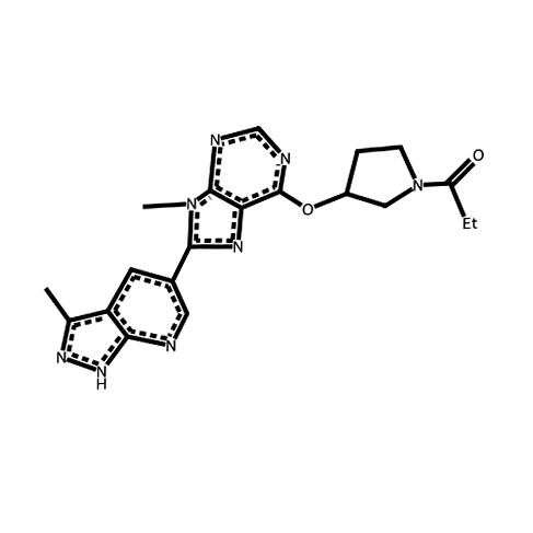 CCC(=O)N1CCC(Oc2ncnc3c2nc(-c2cnc4[nH]nc(C)c4c2)n3C)C1